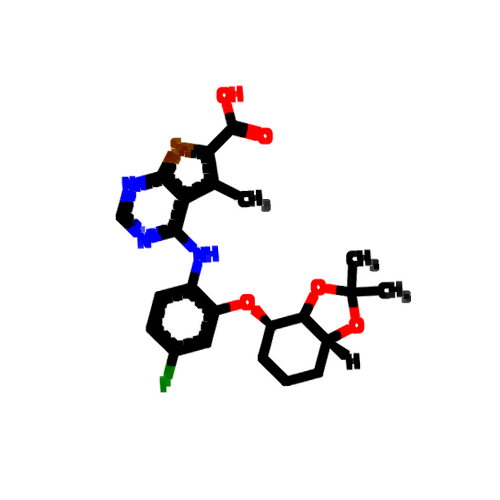 Cc1c(C(=O)O)sc2ncnc(Nc3ccc(F)cc3O[C@@H]3CCC[C@H]4OC(C)(C)OC34)c12